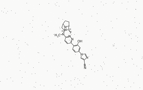 CN(c1ccc(-c2ccc(-n3cnc(C#N)c3)cc2O)nn1)[C@H]1CC2CCC(N2)[C@H]1F